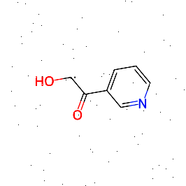 O=C([CH]O)c1cccnc1